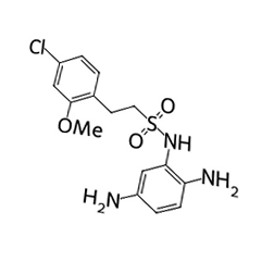 COc1cc(Cl)ccc1CCS(=O)(=O)Nc1cc(N)ccc1N